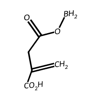 BOC(=O)CC(=C)C(=O)O